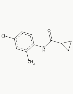 Cc1cc(Cl)ccc1NC(=O)C1CC1